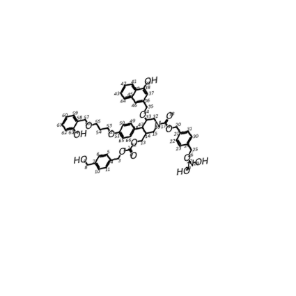 O=C(OCc1ccc(CO)cc1)OCC1CN(C(=O)OCc2ccc(CON(O)O)cc2)CC(OCc2cc(O)c3ccccc3c2)C1c1ccc(OCCCOCc2ccccc2O)cc1